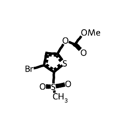 COC(=O)Oc1cc(Br)c(S(C)(=O)=O)s1